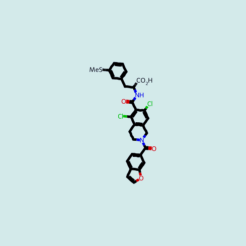 CSc1cccc(CC(NC(=O)c2c(Cl)cc3c(c2Cl)CCN(C(=O)c2ccc4ccoc4c2)C3)C(=O)O)c1